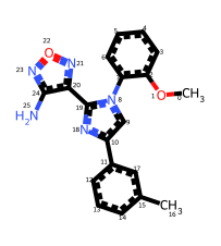 COc1ccccc1-n1cc(-c2cccc(C)c2)nc1-c1nonc1N